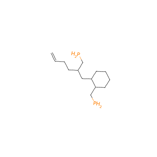 C=CCCC(CP)CC1CCCCC1CP